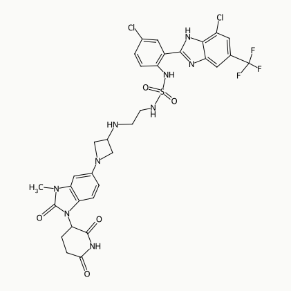 Cn1c(=O)n(C2CCC(=O)NC2=O)c2ccc(N3CC(NCCNS(=O)(=O)Nc4ccc(Cl)cc4-c4nc5cc(C(F)(F)F)cc(Cl)c5[nH]4)C3)cc21